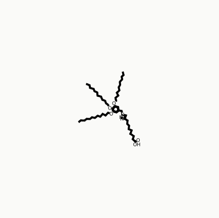 CCCCCCCCCCCCOc1cc(Cn2cc(CCCCCCCCC(=O)O)nn2)cc(OCCCCCCCCCCCC)c1OCCCCCCCCCCCC